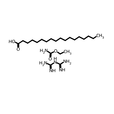 CCCCCCCCCCCCCCCCCC(=O)O.CCOC(N)=O.N=C(N)NC(=N)N